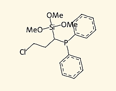 CO[Si](OC)(OC)C(CCCl)P(c1ccccc1)c1ccccc1